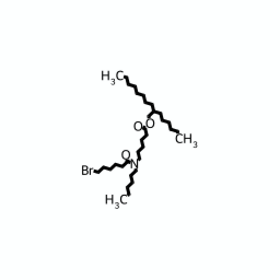 CCCCCCCCC(CCCCCC)COC(=O)CCCCCN(CCCCCC)C(=O)CCCCCBr